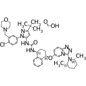 C[C@@H]1CCC[C@H](C)N1c1nnc2ccc(O[C@@H]3CC[C@H](NC(=O)Nc4cc(C(C)(C)C)nn4-c4ccc(Cl)c(CN5CCOCC5)c4)c4ccccc43)cn12.O=CO